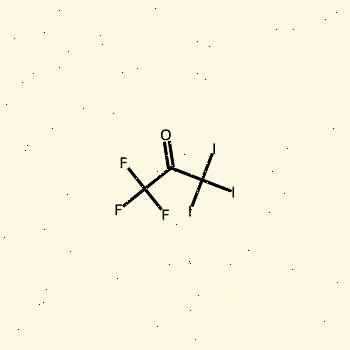 O=C(C(F)(F)F)C(I)(I)I